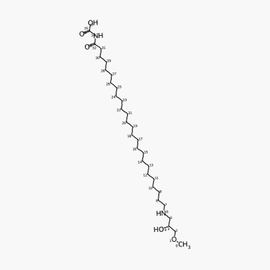 COCC(O)CNCCCCCCCCCCCCCCCCCCCCCCCCCC(=O)NC(=O)O